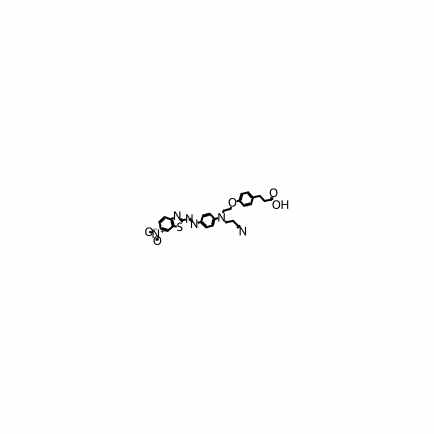 N#CCCN(CCOc1ccc(CCC(=O)O)cc1)c1ccc(N=Nc2nc3ccc([N+](=O)[O-])cc3s2)cc1